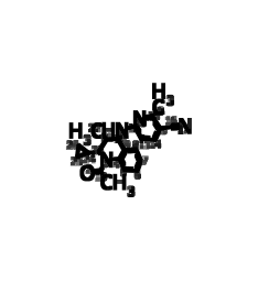 CC(=O)N1c2ccccc2C(Nc2ccc(C#N)c(C)n2)C(C)[C@@H]1C1CC1